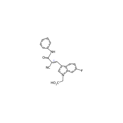 N#C/C(=C\c1cn(CC(=O)O)c2cc(F)ccc12)C(=O)Nc1ccccc1